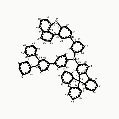 c1ccc(-c2ccc(-c3ccc(N(c4cccc(-c5ccc6c(c5)-c5cccc7cccc(c57)S6)c4)c4ccc5c(c4)C(c4ccccc4)(c4ccccc4)c4ccccc4-5)cc3)cc2-c2ccccc2)cc1